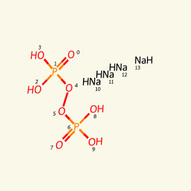 O=P(O)(O)OOP(=O)(O)O.[NaH].[NaH].[NaH].[NaH]